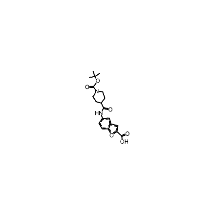 CC(C)(C)OC(=O)N1CCC(C(=O)Nc2ccc3oc(C(=O)O)cc3c2)CC1